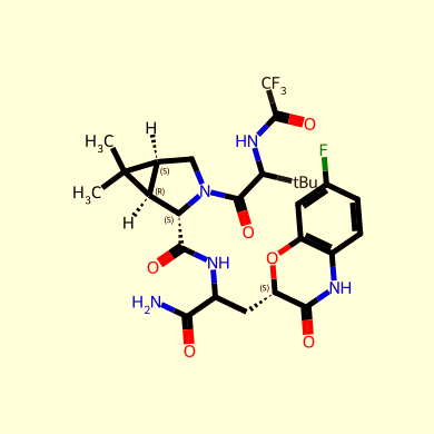 CC(C)(C)C(NC(=O)C(F)(F)F)C(=O)N1C[C@H]2[C@@H]([C@H]1C(=O)NC(C[C@@H]1Oc3cc(F)ccc3NC1=O)C(N)=O)C2(C)C